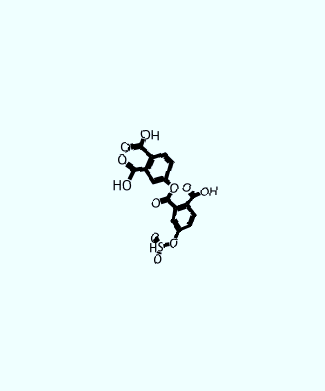 O=C(O)c1ccc(OC(=O)c2cc(O[SH](=O)=O)ccc2C(=O)O)cc1C(=O)O